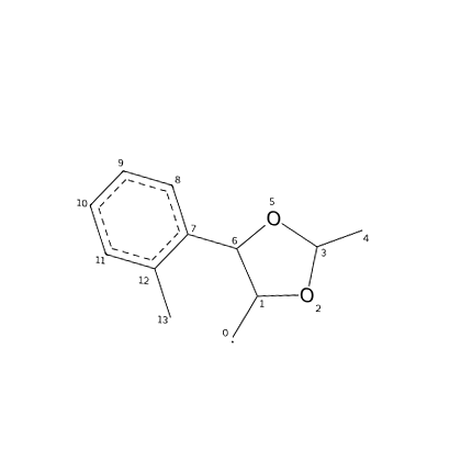 [CH2]C1OC(C)OC1c1ccccc1C